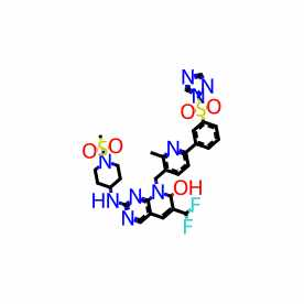 Cc1nc(-c2cccc(S(=O)(=O)n3cncn3)c2)ccc1CN1c2nc(NC3CCN(S(C)(=O)=O)CC3)ncc2C=C(C(F)F)C1O